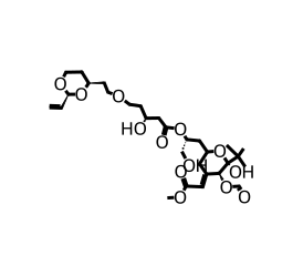 C=C[C@H]1OCC[C@@H](CCOCC[C@@H](O)CC(=O)O[C@@H](CO)CC2C/C(=C\C(=O)OC)[C@H](OC=O)[C@](O)(C(C)(C)C)O2)O1